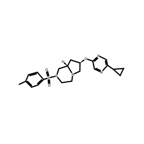 Cc1ccc(S(=O)(=O)N2CCN3C[C@H](Oc4cnc(C5CC5)cn4)C[C@H]3C2)cc1